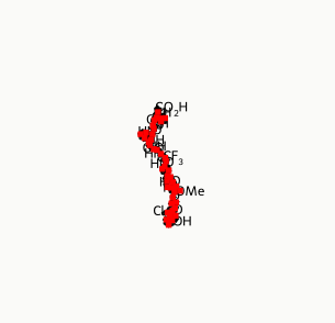 COc1cc2c(cc1OCC13CC(C(=O)N4CC(CCl)c5c4cc(O)c4cccc(C)c54)(C1)C3)N=C[C@@H]1CC(c3ccc(NC(=O)C(OCNC(=O)CNC(=O)[C@H](Cc4ccccc4)NC(=O)CNC(=O)CNC(=O)C(CNCC(=O)O)N4C(=O)C=CC4=O)C(F)(F)F)cc3)=CN1C2=O